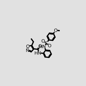 CCc1oncc1C(=O)Nc1ccccc1NS(=O)(=O)c1ccc(OC)cc1